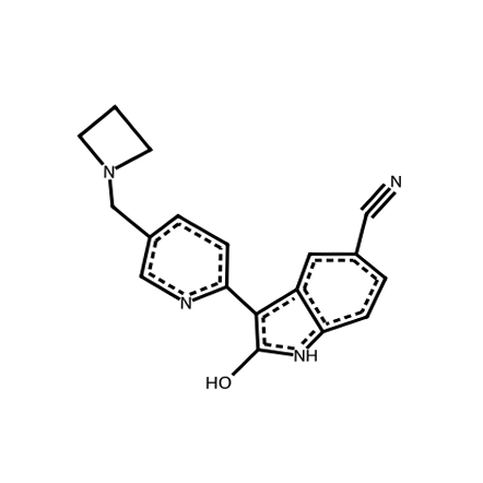 N#Cc1ccc2[nH]c(O)c(-c3ccc(CN4CCC4)cn3)c2c1